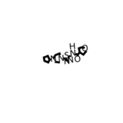 O=C(Nc1nnc(N2CCN(C3CCCC3)CC2)s1)C1CCOCC1